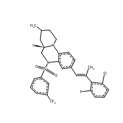 C/C(=C\c1ccc2c(c1)N(S(=O)(=O)c1cccc(C(F)(F)F)c1)C[C@@H]1CC(C)CCN21)c1c(F)cccc1Cl